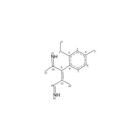 CCc1cc(C)ccc1/C(C(C)=N)=C(\C)C=N